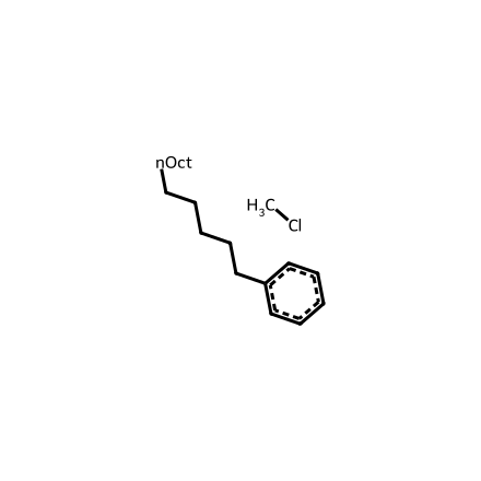 CCCCCCCCCCCCCc1ccccc1.CCl